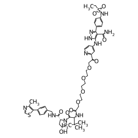 CCS(=O)(=O)Nc1ccc(-c2n[nH]c(Nc3ccnc(C(=O)COCCOCCOCCOCC(=O)N[C@H](C(=O)N4C[C@H](O)C[C@@H]4C(=O)NCc4ccc(-c5scnc5C)cc4)C(C)(C)C)c3)c2C(N)=O)cc1